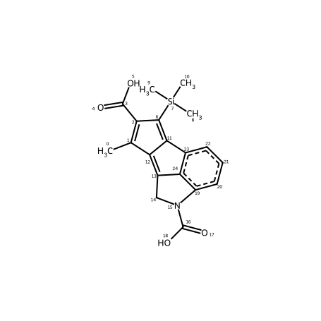 CC1=C(C(=O)O)C([Si](C)(C)C)=C2C1=C1CN(C(=O)O)c3cccc2c31